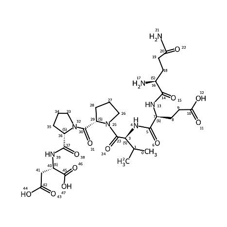 CC(C)[C@H](NC(=O)[C@H](CCC(=O)O)NC(=O)[C@@H](N)CCC(N)=O)C(=O)N1CCC[C@H]1C(=O)N1CCC[C@H]1C(=O)N[C@@H](CC(=O)O)C(=O)O